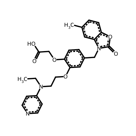 CCN(CCOc1cc(Cn2c(=O)oc3ccc(C)cc32)ccc1OCC(=O)O)c1ccncc1